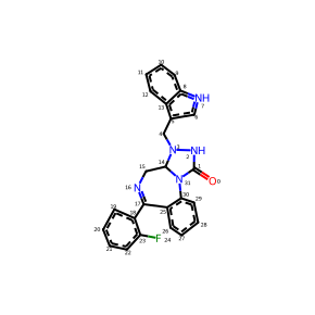 O=C1NN(Cc2c[nH]c3ccccc23)C2CN=C(c3ccccc3F)c3ccccc3N12